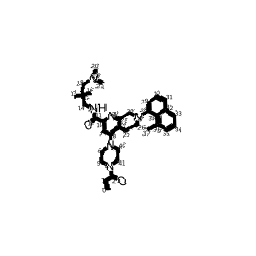 C=CC(=O)N1CCN(c2cc(C(=O)NCC(C)(C)CN(C)C)nc3c2CCN(c2cccc4cccc(C)c24)C3)CC1